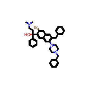 CN(C)CCC(O)(c1ccccc1)c1cc2cc(N3CCN(Cc4ccccc4)CC3)c(Cc3ccccc3)cc2cc1Br